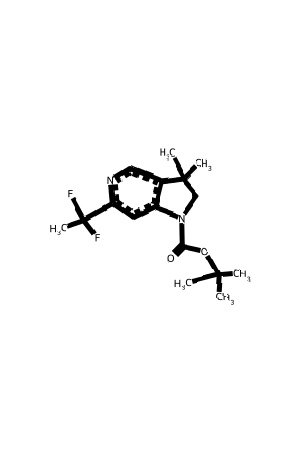 CC(C)(C)OC(=O)N1CC(C)(C)c2cnc(C(C)(F)F)cc21